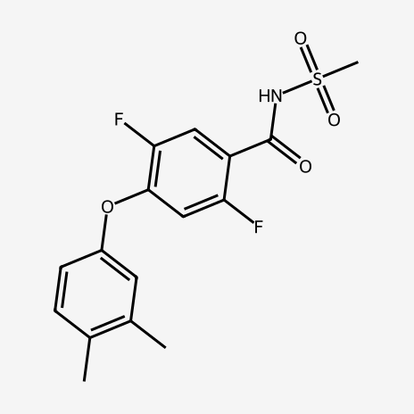 Cc1ccc(Oc2cc(F)c(C(=O)NS(C)(=O)=O)cc2F)cc1C